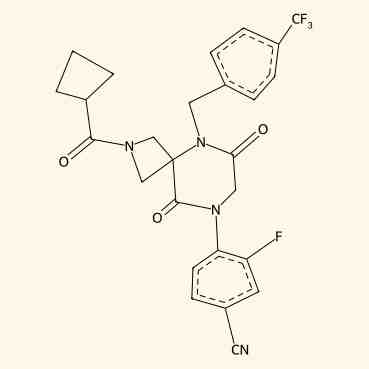 N#Cc1ccc(N2CC(=O)N(Cc3ccc(C(F)(F)F)cc3)C3(CN(C(=O)C4CCC4)C3)C2=O)c(F)c1